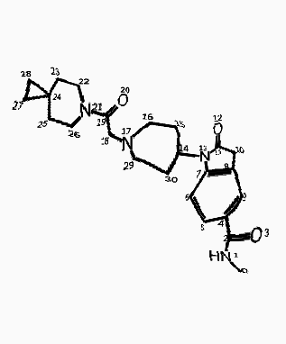 CNC(=O)c1ccc2c(c1)CC(=O)N2C1CCN(CC(=O)N2CCC3(CC2)CC3)CC1